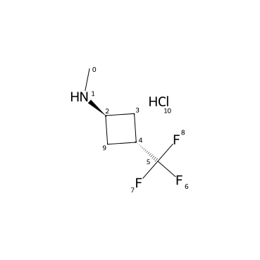 CN[C@H]1C[C@H](C(F)(F)F)C1.Cl